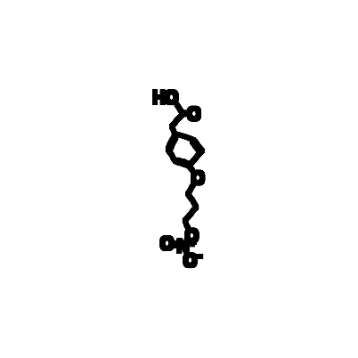 O=C(O)Cc1ccc(OCCCO[N+](=O)[O-])cc1